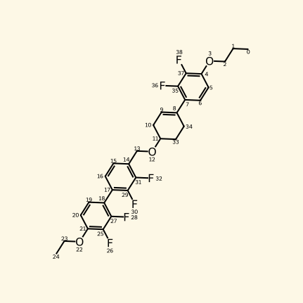 CCCOc1ccc(C2=CCC(OCc3ccc(-c4ccc(OCC)c(F)c4F)c(F)c3F)CC2)c(F)c1F